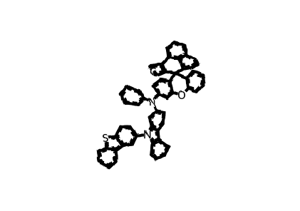 c1ccc(N(c2ccc3c(c2)Oc2ccccc2C32c3ccccc3-c3cccc4cccc2c34)c2ccc3c4ccccc4n(-c4ccc5sc6ccccc6c5c4)c3c2)cc1